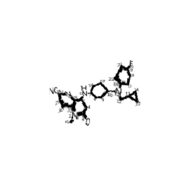 Cn1c(=O)cc(N[C@H]2CC[C@H](N(CC3CC3)c3ccc(F)cc3)CC2)c2nc(C#N)ccc21